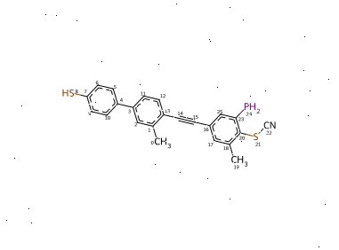 Cc1cc(-c2ccc(S)cc2)ccc1C#Cc1cc(C)c(SC#N)c(P)c1